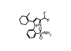 CC1=C(c2cc(C(F)F)nn2-c2ccccc2S(N)(=O)=O)CCCC1